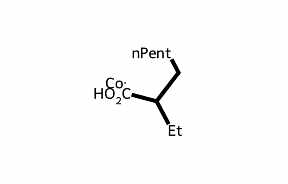 CCCCCCC(CC)C(=O)O.[Co]